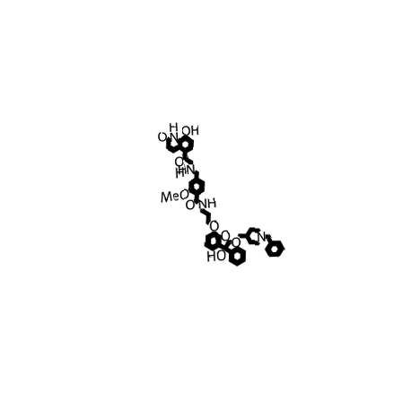 COc1cc(CNC[C@H](O)c2ccc(O)c3[nH]c(=O)ccc23)ccc1C(=O)NCCCOc1cccc(C(O)(C(=O)OCC2CCN(Cc3ccccc3)CC2)c2ccccc2)c1